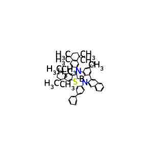 Cc1cc2c3c(c1)N(c1cc4c(cc1C)C(C)(C)CCC4(C)C)C1c4cc5c(cc4SC1B3N(c1ccc(-c3ccccc3)cc1)c1cc3ccccc3cc1-2)C(C)(C)CCC5(C)C